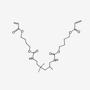 C=CC(=O)OCCCCOC(=O)NCCC(C)(C)CC(C)CNC(=O)OCCCCOC(=O)C=C